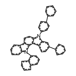 c1ccc(-c2ccc(-n3c4cc(-c5ccccc5)ccc4c4c3ccc3c5ccccc5n(-c5cccc6ccccc56)c34)cc2)cc1